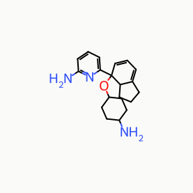 Nc1cccc(C2(OC3CCC(N)CC3)C=CC=C3CCCC32)n1